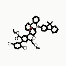 CCOCC(=O)c1cc(-c2cc(Cl)ccc2Cl)c(C(=O)OCC)cc1-c1ccc(N(c2ccc3c(c2)C(C)(C)c2ccccc2-3)c2ccccc2-c2ccccc2)cc1